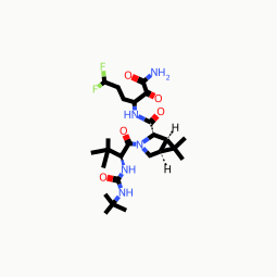 CC(C)(C)NC(=O)N[C@H](C(=O)N1C[C@H]2[C@@H]([C@H]1C(=O)NC(CCC(F)F)C(=O)C(N)=O)C2(C)C)C(C)(C)C